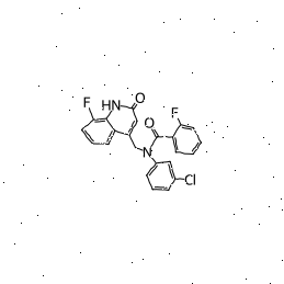 O=C(c1ccccc1F)N(Cc1cc(=O)[nH]c2c(F)cccc12)c1cccc(Cl)c1